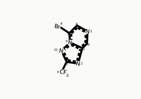 FC(F)(F)c1nc2cncc(Br)n2n1